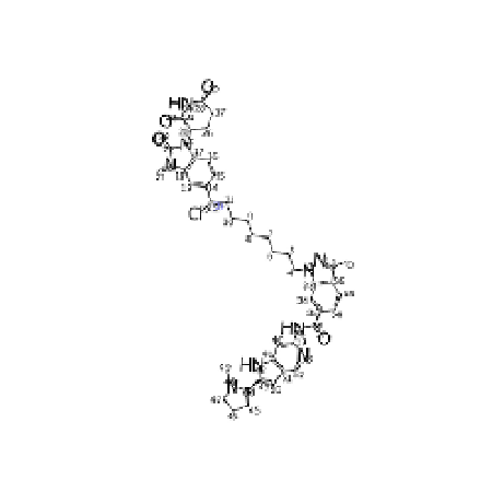 Cc1nn(CCCCCCC/C=C(\Cl)c2ccc3c(c2)n(C)c(=O)n3C2CCC(=O)NC2=O)c2cc(C(=O)Nc3cc4[nH]c([C@H]5CCCN5C)cc4cn3)ccc12